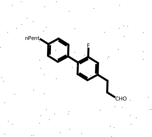 CCCCCc1ccc(-c2ccc(CCC=O)cc2F)cc1